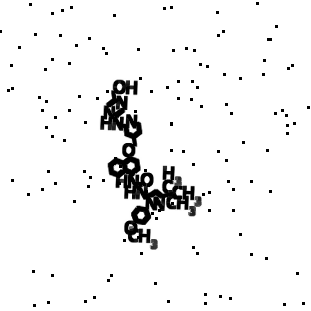 COc1ccc(-n2nc(C(C)(C)C)cc2NC(=O)Nc2ccc(OCc3ccnc(Nc4cnc(CO)cn4)c3)c3ccccc23)cc1